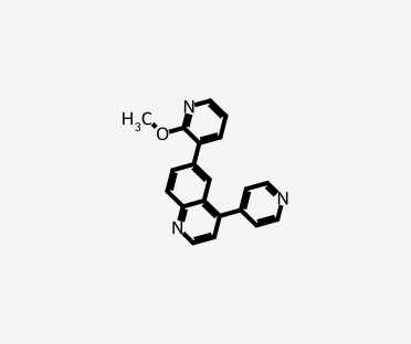 COc1ncccc1-c1ccc2nccc(-c3ccncc3)c2c1